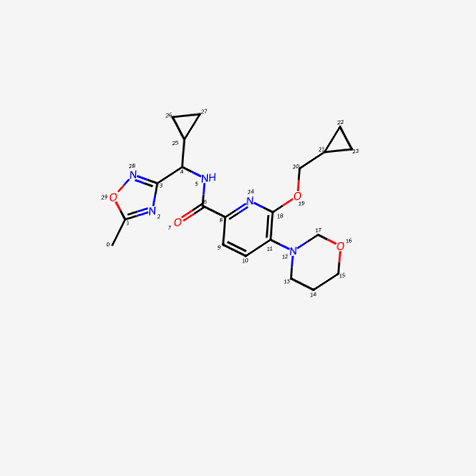 Cc1nc(C(NC(=O)c2ccc(N3CCCOC3)c(OCC3CC3)n2)C2CC2)no1